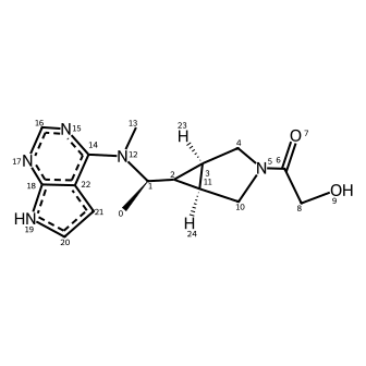 C[C@H](C1[C@H]2CN(C(=O)CO)C[C@@H]12)N(C)c1ncnc2[nH]ccc12